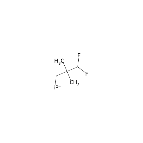 CC(C)CC(C)(C)C(F)F